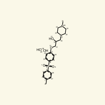 Cc1ccc(S(=O)(=O)c2ccc(OCC(O)CN3CCN(C)CC3)cc2)cc1.Cl.Cl